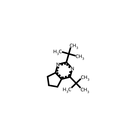 CC(C)(C)c1nc2c(c(C(C)(C)C)n1)CCC2